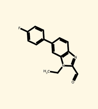 CCn1c(C=O)nc2ccc(-c3ccc(F)cc3)cc21